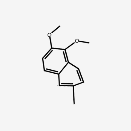 COc1ccc2[c]c(C)ccc2c1OC